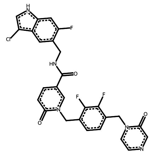 O=C(NCc1cc2c(Cl)c[nH]c2cc1F)c1ccc(=O)n(Cc2ccc(Cn3ccncc3=O)c(F)c2F)c1